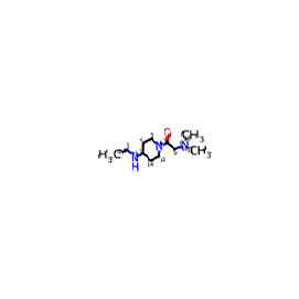 CCNC1CCN(C(=O)CN(C)C)CC1